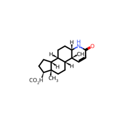 C[C@]12C=CC(=O)N[C@H]1CC[C@@H]1[C@H]2CC[C@]2(C)[C@@H](C(=O)O)CC[C@H]12